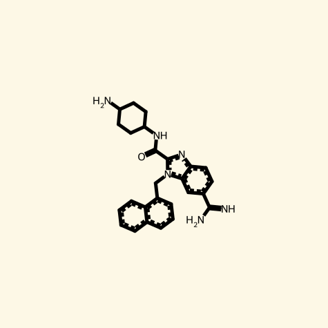 N=C(N)c1ccc2nc(C(=O)NC3CCC(N)CC3)n(Cc3cccc4ccccc34)c2c1